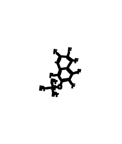 CC(C)[Si](Oc1c(F)c(F)c2c(F)c(F)c(F)[c]c2c1F)(C(C)C)C(C)C